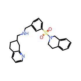 O=S(=O)(c1cccc(CNCC2CCc3cccnc3C2)c1)N1CCc2ccccc2C1